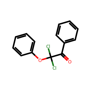 O=C(c1ccccc1)C(Cl)(Cl)Oc1ccccc1